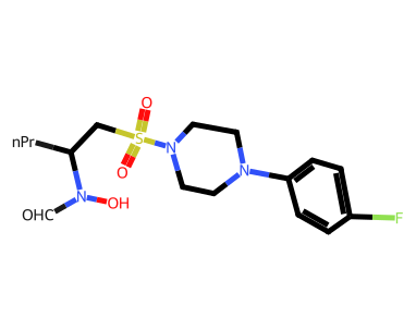 CCCC(CS(=O)(=O)N1CCN(c2ccc(F)cc2)CC1)N(O)C=O